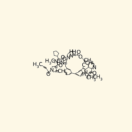 CC#CC(=O)N1C[C@H](C)[C@H](C(=O)N(C)[C@H](C(=O)N[C@H]2Cc3cccc(c3)-c3ccc4c(c3)c(c(-c3cccnc3[C@H](C)OC)n4CC)CC(C)(C)COC(=O)[C@@H]3CCCN(N3)C2=O)C2CCCC2)C1